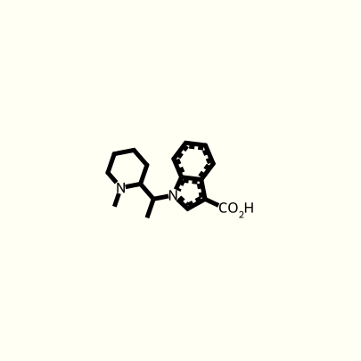 CC(C1CCCCN1C)n1cc(C(=O)O)c2ccccc21